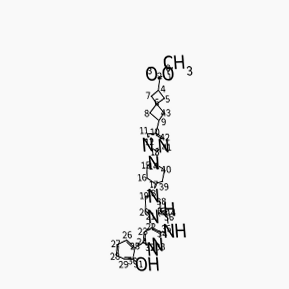 COC(=O)C1CC2(C1)CC(c1cnc(N3CCC(N4CCN5c6cc(-c7ccccc7O)nnc6NC[C@H]5C4)CC3)nc1)C2